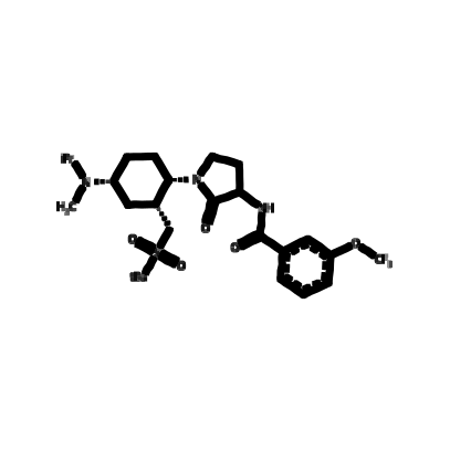 CC(C)N(C)[C@@H]1CC[C@H](N2CCC(NC(=O)c3cccc(OC(F)(F)F)c3)C2=O)[C@H](CS(=O)(=O)C(C)(C)C)C1